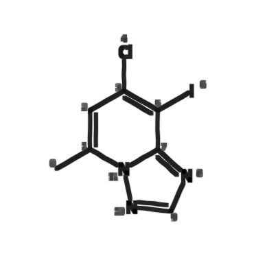 Cc1cc(Cl)c(I)c2ncnn12